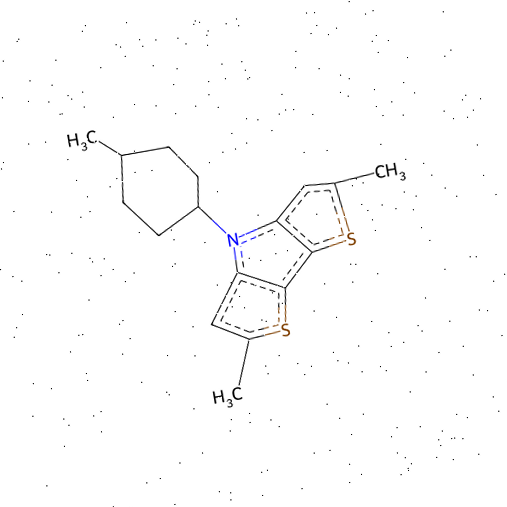 Cc1cc2c(s1)c1sc(C)cc1n2C1CCC(C)CC1